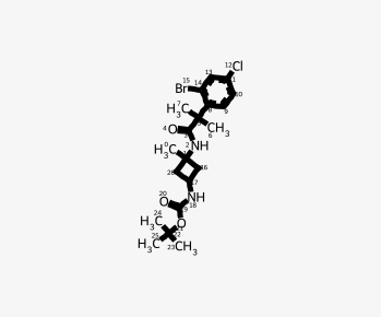 CC1(NC(=O)C(C)(C)c2ccc(Cl)cc2Br)CC(NC(=O)OC(C)(C)C)C1